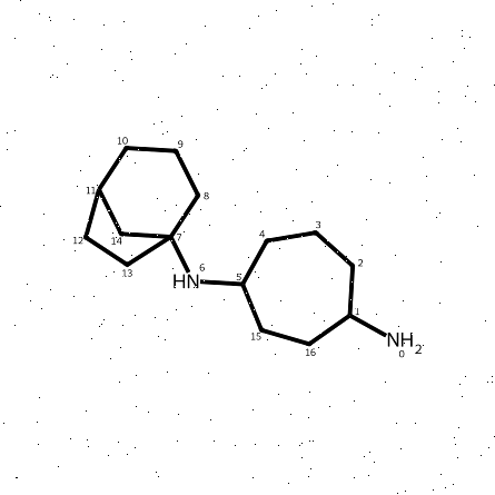 NC1CCCC(NC23CCCC(CC2)C3)CC1